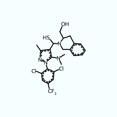 Cc1nn(-c2c(Cl)cc(C(F)(F)F)cc2Cl)c(N(C)C)c1C(S)N1Cc2ccccc2CC1CO